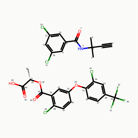 C#CC(C)(C)NC(=O)c1cc(Cl)cc(Cl)c1.C[C@H](OC(=O)c1cc(Oc2ccc(C(F)(F)F)cc2Cl)ccc1Cl)C(=O)O